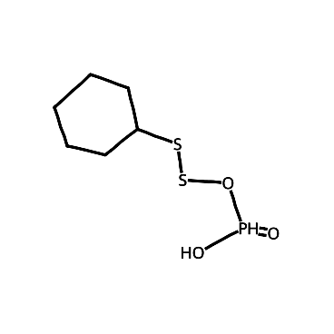 O=[PH](O)OSSC1CCCCC1